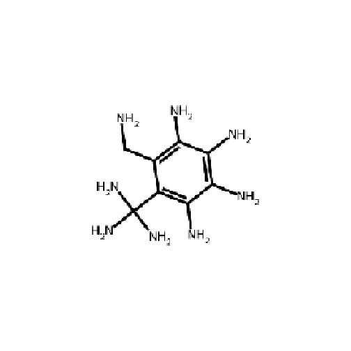 NCc1c(N)c(N)c(N)c(N)c1C(N)(N)N